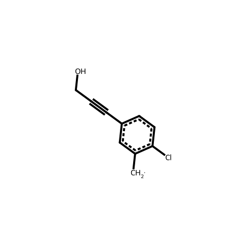 [CH2]c1cc(C#CCO)ccc1Cl